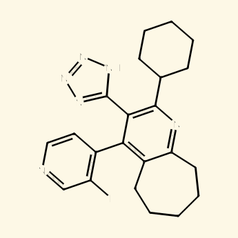 Fc1cnccc1-c1c2c(nc(C3CCCCC3)c1-c1nnn[nH]1)CCCCC2